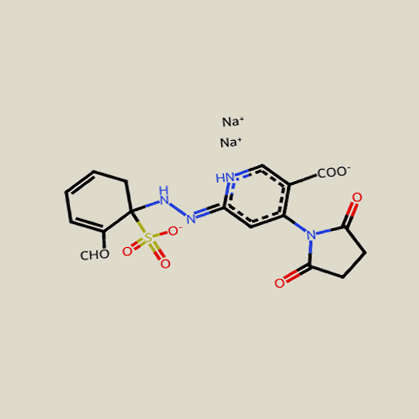 O=CC1=CC=CCC1(NN=c1cc(N2C(=O)CCC2=O)c(C(=O)[O-])c[nH]1)S(=O)(=O)[O-].[Na+].[Na+]